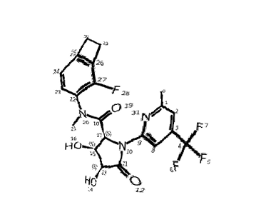 Cc1cc(C(F)(F)F)cc(N2C(=O)[C@@H](O)[C@@H](O)[C@H]2C(=O)N(C)c2ccc3c(c2F)CC3)n1